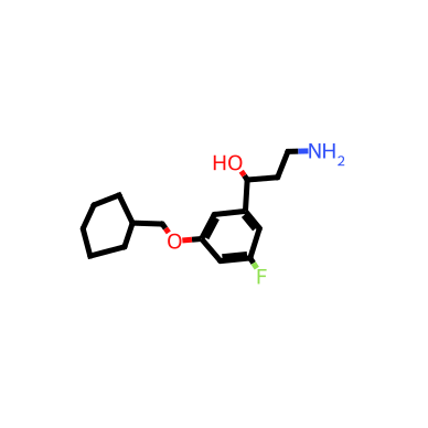 NCCC(O)c1cc(F)cc(OCC2CCCCC2)c1